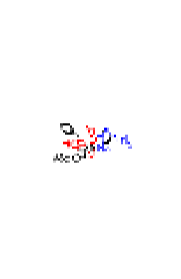 COC[C@]1(CO)O[C@@H](n2cnc3c(N)ncnc32)C(O)C1OCc1ccccc1